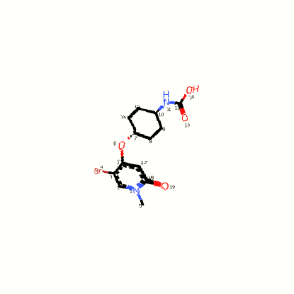 Cn1cc(Br)c(O[C@H]2CC[C@H](NC(=O)O)CC2)cc1=O